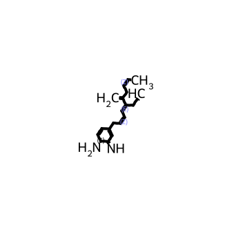 C#CC/C(=C\C=C/CC1=CC(=N)[C@@H](N)C=C1)C(=C)C/C=C\C